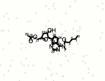 CCCCC(=O)N(C)c1ncnn2c(C3OC(COC(C)=O)C[C@H]3O)ccc12